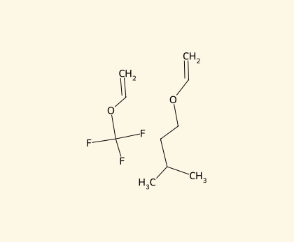 C=COC(F)(F)F.C=COCCC(C)C